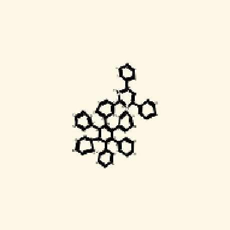 c1ccc(-c2cc(-c3ccccc3)nc(-c3cccc(-c4c(-c5ccccc5)c(-c5ccccc5)c(-c5ccccc5)c(-c5ccccc5)c4-c4ccccc4)c3)n2)cc1